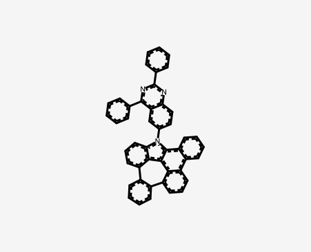 c1ccc(-c2nc(-c3ccccc3)c3cc(-n4c5cccc6c5c5c7c(cccc7c7ccccc7c54)-c4ccccc4-6)ccc3n2)cc1